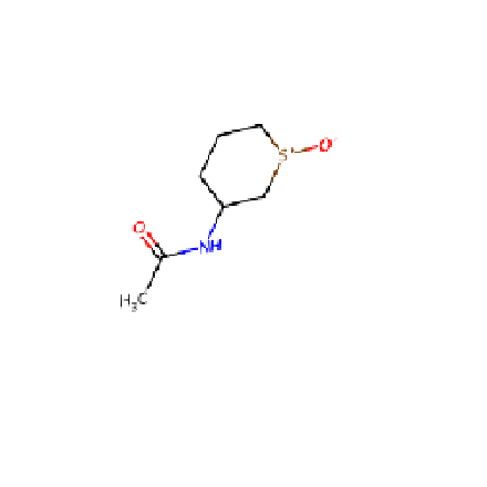 CC(=O)NC1CCC[S+]([O-])C1